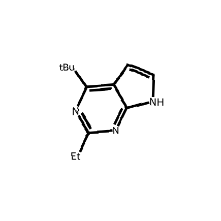 CCc1nc(C(C)(C)C)c2cc[nH]c2n1